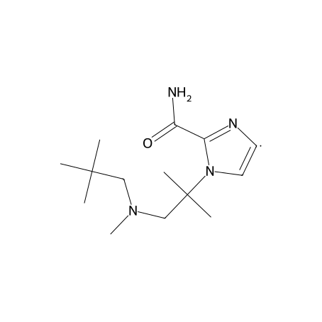 CN(CC(C)(C)C)CC(C)(C)n1c[c]nc1C(N)=O